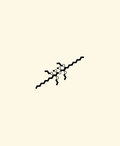 CCCCCCCCCC(OCCC)=C(OCCC)C(OC)OC(OC)C(OCCC)=C(CCCCCCCCC)OCCC